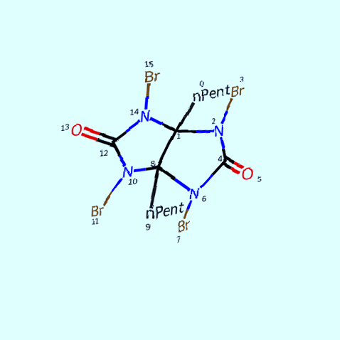 CCCCCC12N(Br)C(=O)N(Br)C1(CCCCC)N(Br)C(=O)N2Br